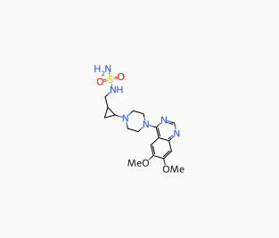 COc1cc2ncnc(N3CCN(C4CC4CNS(N)(=O)=O)CC3)c2cc1OC